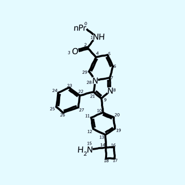 CCCNC(=O)c1ccc2nc(-c3ccc(C4(N)CCC4)cc3)c(-c3ccccc3)n2c1